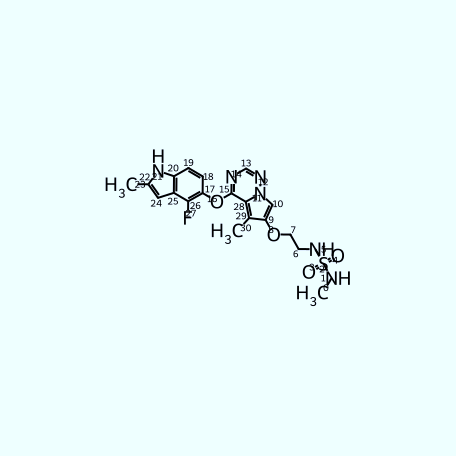 CNS(=O)(=O)NCCOc1cn2ncnc(Oc3ccc4[nH]c(C)cc4c3F)c2c1C